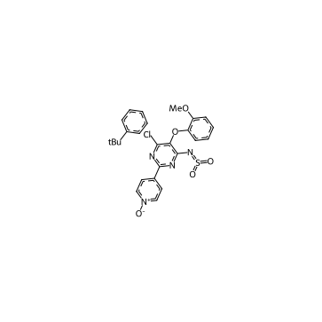 CC(C)(C)c1ccccc1.COc1ccccc1Oc1c(Cl)nc(-c2cc[n+]([O-])cc2)nc1N=S(=O)=O